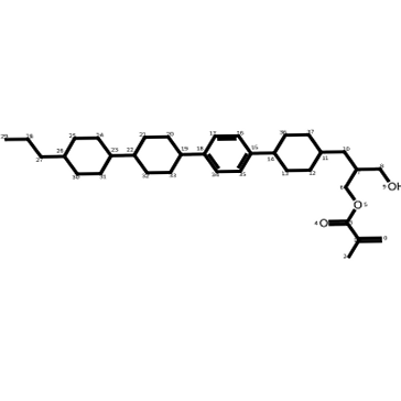 C=C(C)C(=O)OCC(CO)CC1CCC(c2ccc(C3CCC(C4CCC(CCC)CC4)CC3)cc2)CC1